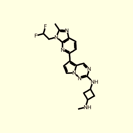 CNC1CC(Nc2ncc3c(-c4ccc5nc(C)n(CC(F)F)c5n4)ccn3n2)C1